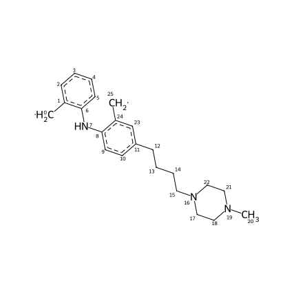 [CH2]c1ccccc1Nc1ccc(CCCCN2CCN(C)CC2)cc1[CH2]